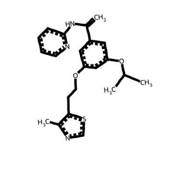 C=C(Nc1ccccn1)c1cc(OCCc2scnc2C)cc(OC(C)C)c1